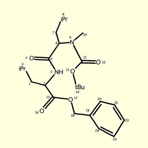 CC(C)CC(NC(=O)C(CC(C)C)N(C)C(=O)OC(C)(C)C)C(=O)OCc1ccccc1